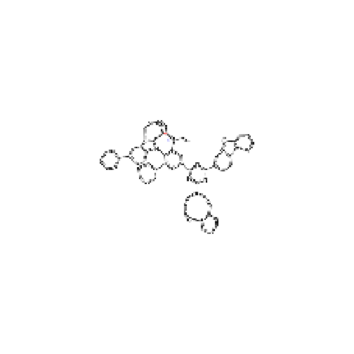 C=C/C=C(\C=C)c1cc(-c2nc(-c3cccoc4ccccc4cc3)nc(-c3ccc4c(c3)oc3ccccc34)n2)cc(-c2ccccc2)c1-n1c2ccccc2c2cc(-c3ccccc3)ccc21